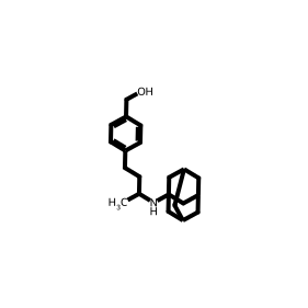 CC(CCc1ccc(CO)cc1)NC12CC3CC(CC(C3)C1)C2